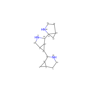 C1CC2CC2C(C2C3CNC(C45CC4CCN5)C32)N1